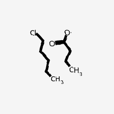 CCCC([O])=O.CCCCCCl